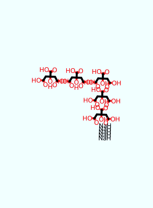 O=C(O)CC(O)(CC(=O)O)C(=O)O.O=C(O)CC(O)(CC(=O)O)C(=O)O.O=C(O)CC(O)(CC(=O)O)C(=O)O.O=C(O)CC(O)(CC(=O)O)C(=O)O.O=C(O)CC(O)(CC(=O)O)C(=O)O.[NaH].[NaH].[NaH].[NaH].[NaH]